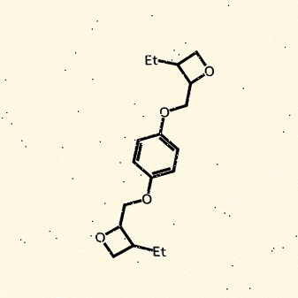 CCC1COC1COc1ccc(OCC2OCC2CC)cc1